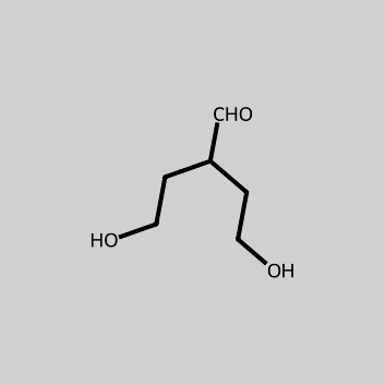 O=CC(CCO)CCO